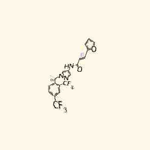 C[C@@H](c1ccc(C(F)(F)F)cc1C(F)(F)F)n1cc(NC(=O)/C=C/c2ccco2)cn1